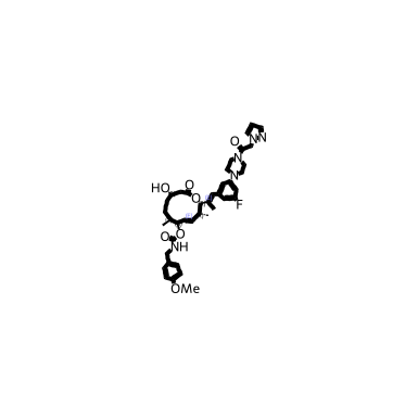 COc1ccc(CNC(=O)O[C@@H]2/C=C/[C@@H](C)[C@H](/C(C)=C/c3cc(F)cc(N4CCN(C(=O)Cn5cccn5)CC4)c3)OC(=O)C[C@@H](O)CC[C@@H]2C)cc1